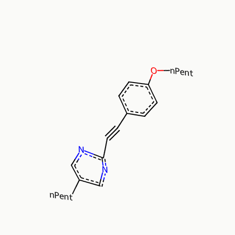 CCCCCOc1ccc(C#Cc2ncc(CCCCC)cn2)cc1